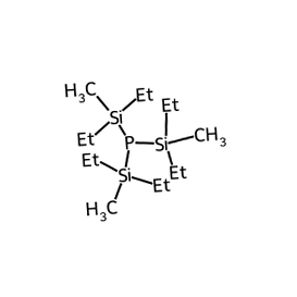 CC[Si](C)(CC)P([Si](C)(CC)CC)[Si](C)(CC)CC